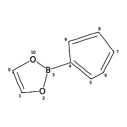 [C]1=COB(c2ccccc2)O1